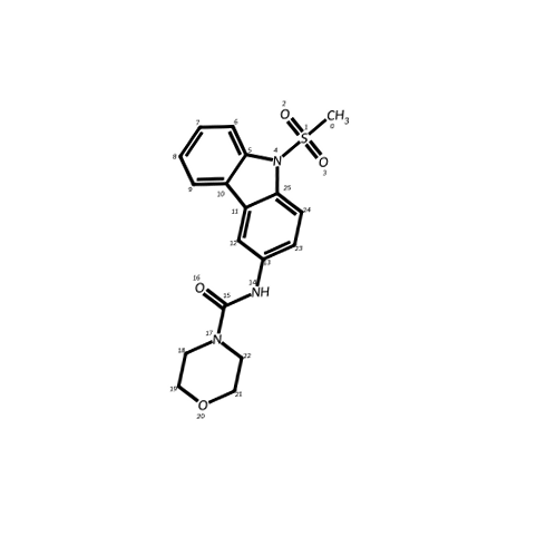 CS(=O)(=O)n1c2ccccc2c2cc(NC(=O)N3CCOCC3)ccc21